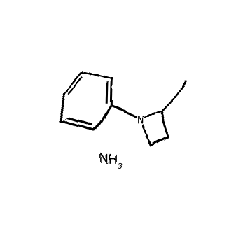 CC1CCN1c1ccccc1.N